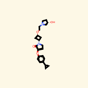 O=C1C(Oc2ccc(C3CC3)cc2)=CCN1[C@H]1C[C@@H](OCCN2CC[C@H](O)C2)C1